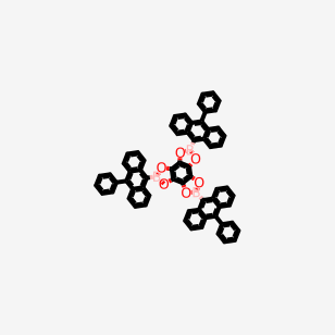 c1ccc(-c2c3ccccc3c(B3Oc4c5c(c6c(c4O3)OB(c3c4ccccc4c(-c4ccccc4)c4ccccc34)O6)OB(c3c4ccccc4c(-c4ccccc4)c4ccccc34)O5)c3ccccc23)cc1